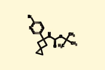 CC(C)(C)OC(=O)NC1(c2ccc(Br)nc2)CC2(CC2)C1